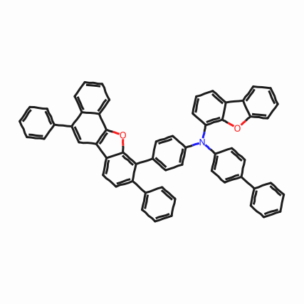 c1ccc(-c2ccc(N(c3ccc(-c4c(-c5ccccc5)ccc5c4oc4c6ccccc6c(-c6ccccc6)cc54)cc3)c3cccc4c3oc3ccccc34)cc2)cc1